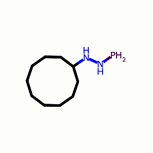 PNNC1CCCCCCCCC1